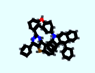 c1ccc(-c2nc(-c3cccc4oc5ccc(-n6c7ccccc7c7c(-c8ccccc8)c8ccccc8cc76)cc5c34)nc3c2sc2ccccc23)cc1